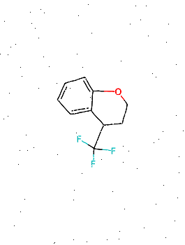 FC(F)(F)C1CCOc2ccccc21